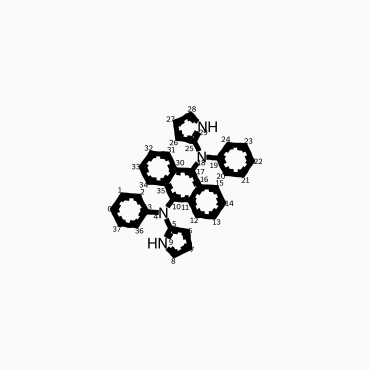 c1ccc(N(c2ccc[nH]2)c2c3ccccc3c(N(c3ccccc3)c3ccc[nH]3)c3ccccc23)cc1